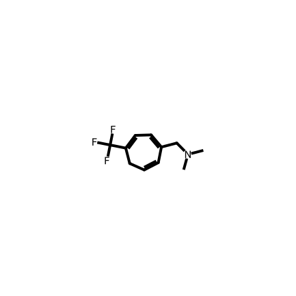 CN(C)CC1=CC=C(C(F)(F)F)CC=C1